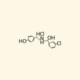 Cl.Oc1ccc(CCNC[C@H](O)c2cccc(Cl)c2)cc1